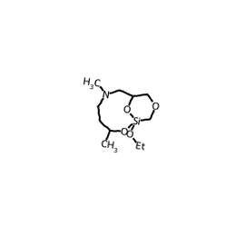 CCO[Si]12COCC(CN(C)CCC(C)O1)O2